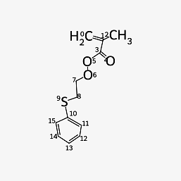 C=C(C)C(=O)OOCCSc1ccccc1